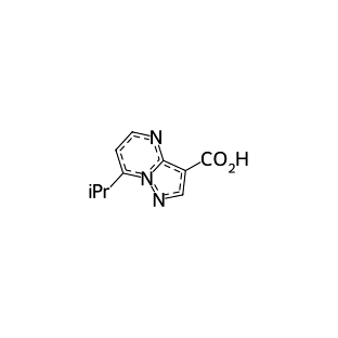 CC(C)c1ccnc2c(C(=O)O)cnn12